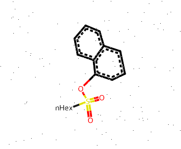 CCCCCCS(=O)(=O)Oc1cccc2ccccc12